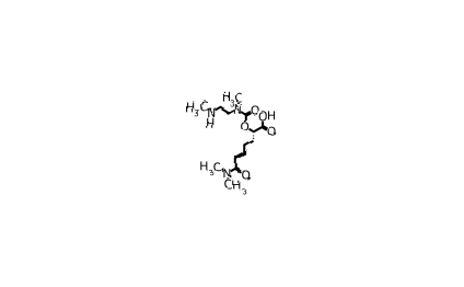 CNCCN(C)C(=O)O[C@@H](CC/C=C/C(=O)N(C)C)C(=O)O